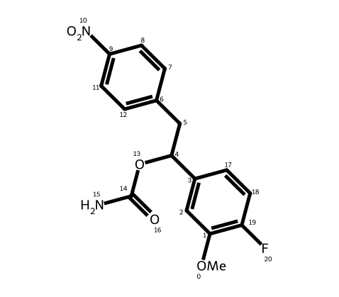 COc1cc(C(Cc2ccc([N+](=O)[O-])cc2)OC(N)=O)ccc1F